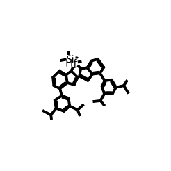 CC(C)c1cc(-c2cccc3c2C=C[CH]3[Hf]([CH3])([CH3])([CH]2C=Cc3c(-c4cc(C(C)C)cc(C(C)C)c4)cccc32)=[Si](C)C)cc(C(C)C)c1